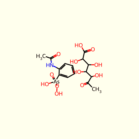 CC(=O)C(O)C(O)C(O)C(O)C(=O)O.CC(=O)Nc1ccccc1[As](=O)(O)OO